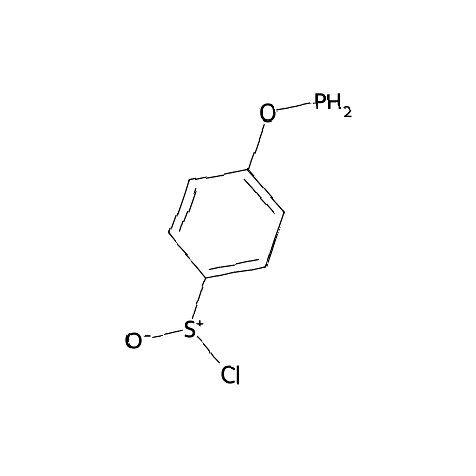 [O-][S+](Cl)c1ccc(OP)cc1